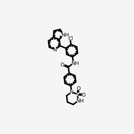 O=C(Nc1ccc(Cl)c(-c2nccc3cc[nH]c23)c1)c1ccc(N2CCCNS2(=O)=O)cc1